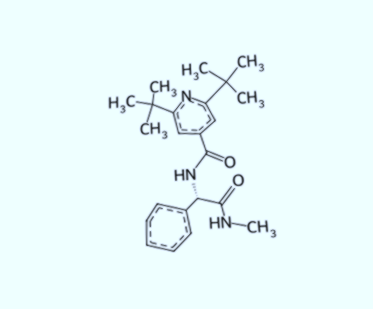 CNC(=O)[C@@H](NC(=O)c1cc(C(C)(C)C)nc(C(C)(C)C)c1)c1ccccc1